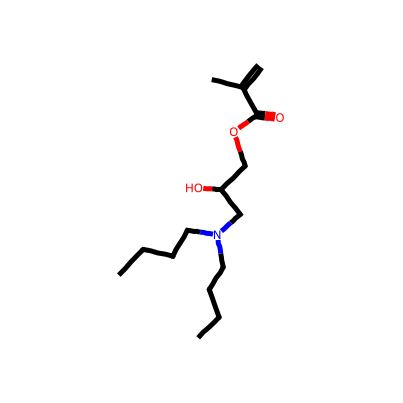 C=C(C)C(=O)OCC(O)CN(CCCC)CCCC